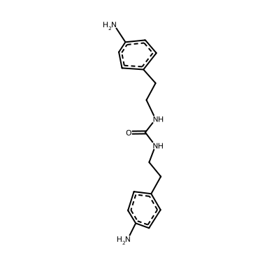 Nc1ccc(CCNC(=O)NCCc2ccc(N)cc2)cc1